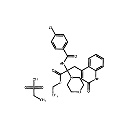 CCOC(=O)C(Cc1cc(=O)[nH]c2ccccc12)(NC(=O)c1ccc(Cl)cc1)N1CCOCC1.CCS(=O)(=O)O